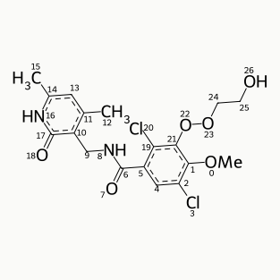 COc1c(Cl)cc(C(=O)NCc2c(C)cc(C)[nH]c2=O)c(Cl)c1OOCCO